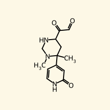 CN1CNC(C(=O)C=O)CC1(C)c1cc[nH]c(=O)c1